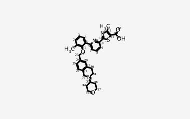 Cc1cccc(-c2cccc(-c3nc(C)c(C(=O)O)s3)n2)c1OCc1ccc2c(c1)CCN(C1CCOCC1)C2